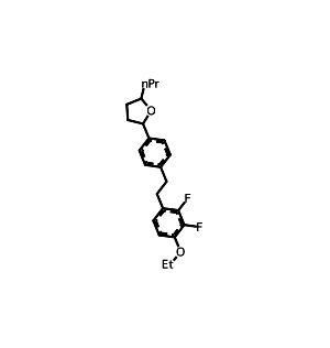 CCCC1CCC(c2ccc(CCc3ccc(OCC)c(F)c3F)cc2)O1